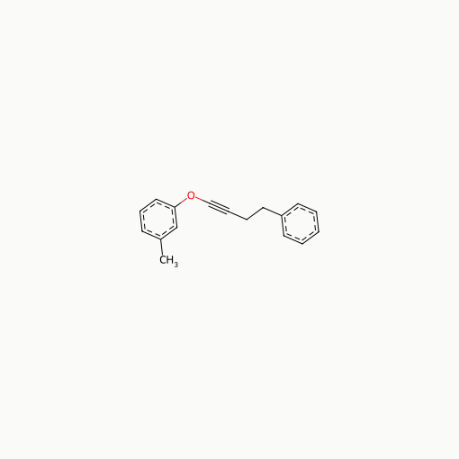 Cc1cccc(OC#CCCc2ccccc2)c1